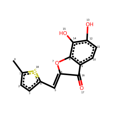 Cc1ccc(C=C2Oc3c(ccc(O)c3O)C2=O)s1